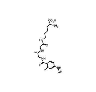 C[C@H](CNC(=O)c1ccc(BO)cc1F)NCC(=O)NCCCC[C@H](N)C(=O)O